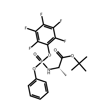 C[C@H](NP(=O)(Oc1ccccc1)Oc1c(F)c(F)c(F)c(F)c1F)C(=O)OC(C)(C)C